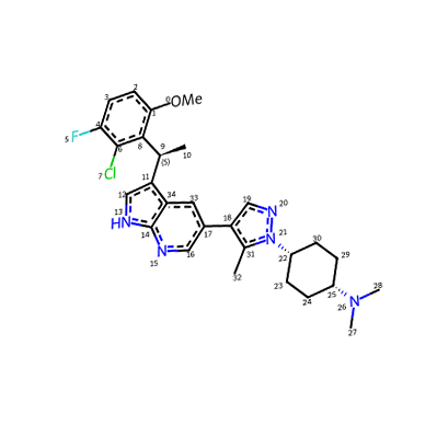 COc1ccc(F)c(Cl)c1[C@@H](C)c1c[nH]c2ncc(-c3cnn([C@H]4CC[C@@H](N(C)C)CC4)c3C)cc12